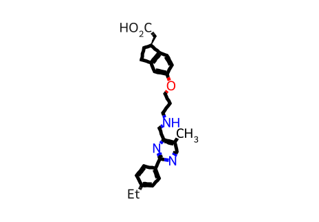 CCc1ccc(-c2ncc(C)c(CNCCCOc3ccc4c(c3)CC[C@H]4CC(=O)O)n2)cc1